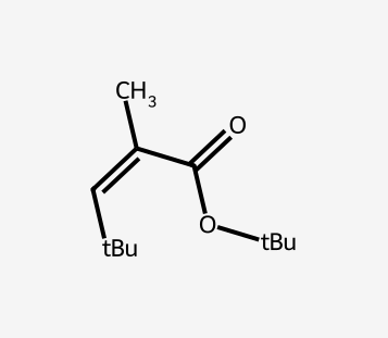 CC(=CC(C)(C)C)C(=O)OC(C)(C)C